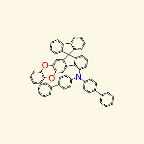 c1ccc(-c2ccc(N(c3ccc(-c4ccccc4)cc3)c3cccc4c3-c3cc5c(cc3C43c4ccccc4-c4ccccc43)Oc3ccccc3O5)cc2)cc1